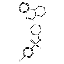 O=C([C@H]1CC[C@H](NS(=O)(=O)c2ccc(Br)cc2)CC1)N1CCCCC1c1ccccc1